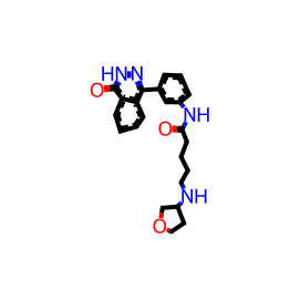 O=C(CCCCNC1CCOC1)Nc1cccc(-c2n[nH]c(=O)c3ccccc23)c1